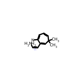 CC1(C)C=CC=C(N)C(/C=C\N)=C1